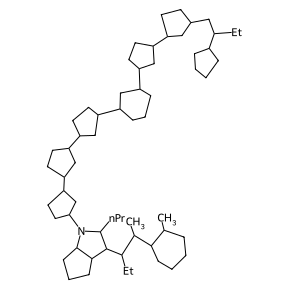 CCCC1C(C(CC)C(C)C2CCCCC2C)C2CCCC2N1C1CCC(C2CCC(C3CCC(C4CCCC(C5CCC(C6CCC(CC(CC)C7CCCC7)C6)C5)C4)C3)C2)C1